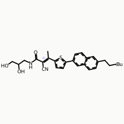 CCC(C)CCc1ccc2cc(-c3ccc(/C(C)=C(\C#N)C(=O)NCC(O)CO)s3)ccc2c1